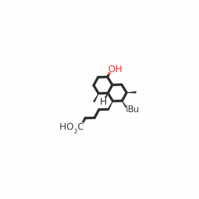 CCC(C)[C@H]1[C@@H](CCCCC(=O)O)[C@H]2C(C[C@H]1C)C(O)CC[C@@H]2C